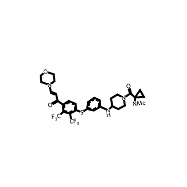 CNC1(C(=O)N2CCC(Nc3cccc(Sc4ccc(C(=O)C=CN5CCOCC5)c(C(F)(F)F)c4C(F)(F)F)c3)CC2)CC1